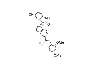 COc1ccc(CN(C)c2ccc3c(c2)CO/C3=C2/C(=O)Nc3ccc(Cl)cc32)c(OC)c1